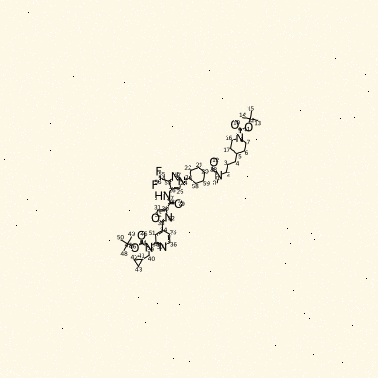 CN(CCCC1CCN(C(=O)OC(C)(C)C)CC1)C(=O)[C@H]1CC[C@H](n2cc(NC(=O)c3coc(-c4ccnc(N(CC5CC5)C(=O)OC(C)(C)C)c4)n3)c(C(F)F)n2)CC1